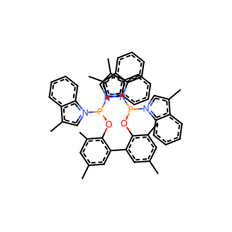 Cc1cc(C)c(OP(n2cc(C)c3ccccc32)n2cc(C)c3ccccc32)c(-c2cc(C)cc(C)c2OP(n2cc(C)c3ccccc32)n2cc(C)c3ccccc32)c1